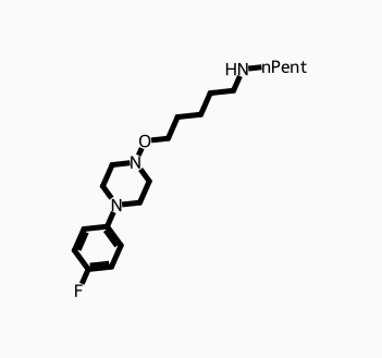 CCCCCNCCCCCON1CCN(c2ccc(F)cc2)CC1